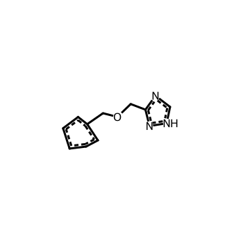 c1ccc(COCc2nc[nH]n2)cc1